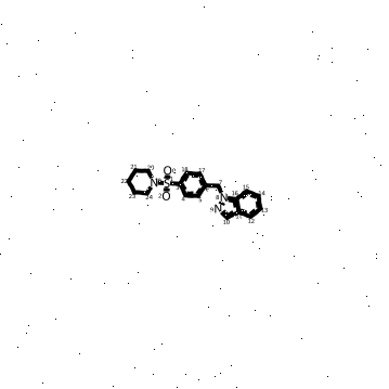 O=S(=O)(c1ccc(Cn2ncc3ccccc32)cc1)N1CCCCC1